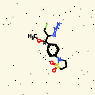 CO[C@H](c1ccc(N2CCCS2(=O)=O)cc1)C(CF)N=[N+]=[N-]